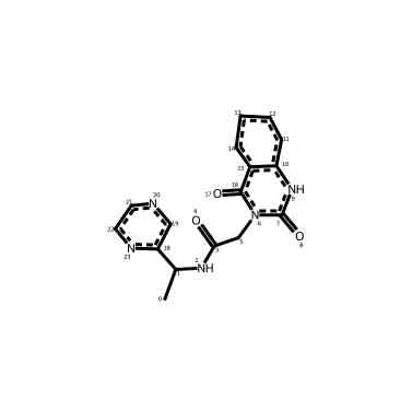 CC(NC(=O)Cn1c(=O)[nH]c2ccccc2c1=O)c1cnccn1